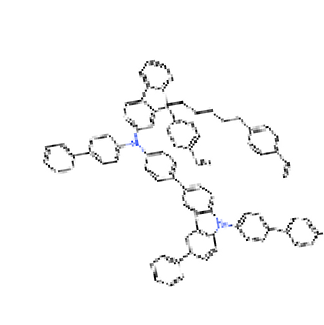 C=Cc1ccc(CCCCCC2(c3ccc(C(C)(C)C)cc3)c3ccccc3-c3ccc(N(c4ccc(-c5ccccc5)cc4)c4ccc(-c5ccc6c(c5)c5cc(-c7ccccc7)ccc5n6-c5ccc(-c6ccc(C=C)cc6)cc5)cc4)cc32)cc1